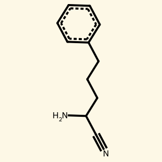 N#CC(N)CCCc1ccccc1